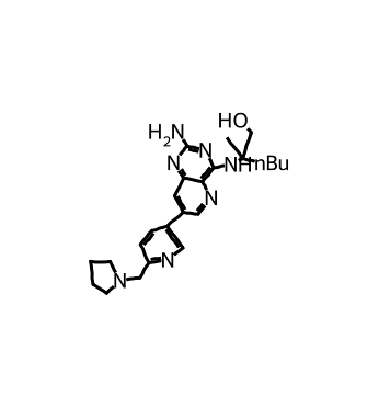 CCCCC(C)(CO)Nc1nc(N)nc2cc(-c3ccc(CN4CCCC4)nc3)cnc12